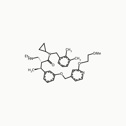 CCNC[C@H](C(=O)N(Cc1cccc(C)c1C)C1CC1)[C@H](C)c1cccc(OCc2ccnc(OCCOC)c2)c1